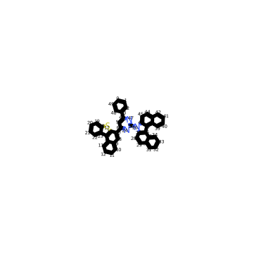 c1ccc(-c2cc(-c3cc4ccccc4c4c3sc3ccccc34)nc(-n3c4ccc5ccccc5c4c4c5ccccc5ccc43)n2)cc1